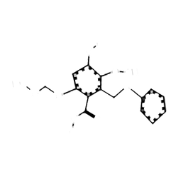 COCOc1cc(OC)c(OC)c(CSc2ccccc2)c1C(=O)OC